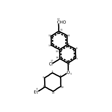 CCC1CCC(Oc2ccc3cc(C=O)ccc3c2Cl)CC1